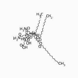 CCCCCCCCCCCCCCCC(=O)OC[C@H](CSCC(NC(=O)CCCCCCCCCCCCC)C(=O)N[C@H](CCC(N)=O)C(=O)N[C@@H](CCC(N)=O)C(=O)N[C@@H](CCC(=O)O)C(=O)O)OC(=O)CCCCCCCCCCCCCCC